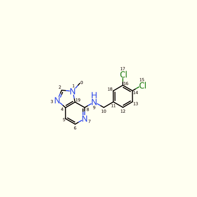 Cn1cnc2ccnc(NCc3ccc(Cl)c(Cl)c3)c21